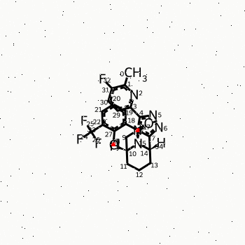 Cc1nc(-c2nnc3n2C[C@H]2CCC[C@@H]3N2C(=O)c2cccc(C(F)(F)F)c2Cl)ccc1F